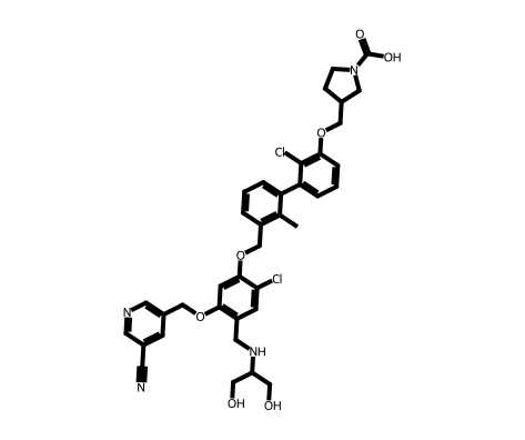 Cc1c(COc2cc(OCc3cncc(C#N)c3)c(CNC(CO)CO)cc2Cl)cccc1-c1cccc(OCC2CCN(C(=O)O)C2)c1Cl